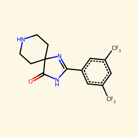 O=C1NC(c2cc(C(F)(F)F)cc(C(F)(F)F)c2)=NC12CCNCC2